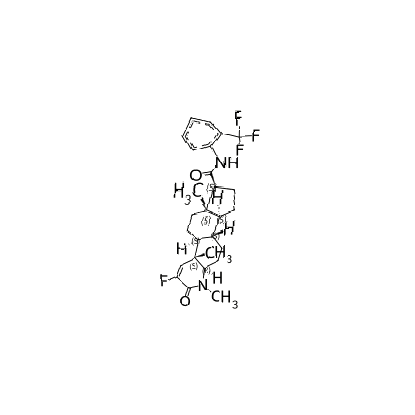 CN1C(=O)C(F)=C[C@]2(C)[C@H]3CC[C@]4(C)[C@@H](C(=O)Nc5ccccc5C(F)(F)F)CC[C@H]4[C@@H]3CC[C@@H]12